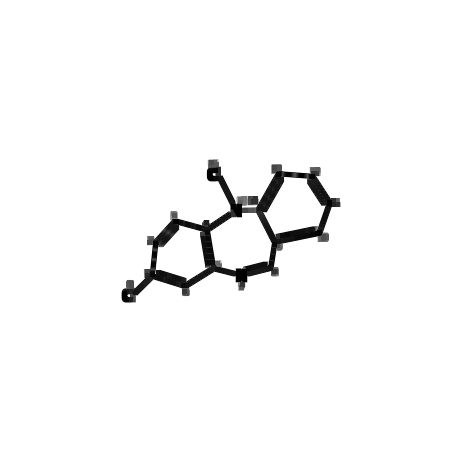 Clc1ccc2c(c1)N=Cc1ccccc1N2Cl